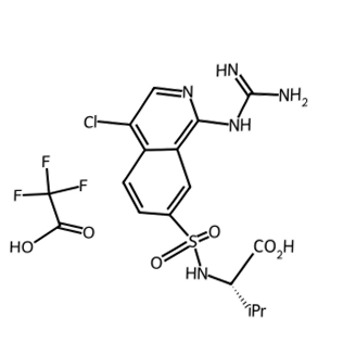 CC(C)[C@H](NS(=O)(=O)c1ccc2c(Cl)cnc(NC(=N)N)c2c1)C(=O)O.O=C(O)C(F)(F)F